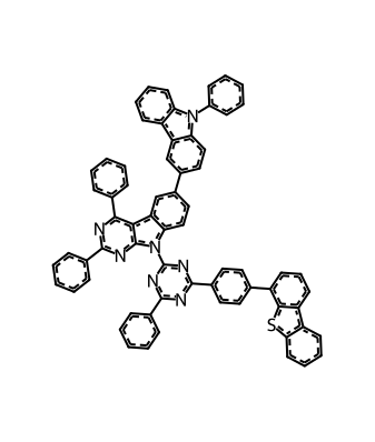 c1ccc(-c2nc(-c3ccc(-c4cccc5c4sc4ccccc45)cc3)nc(-n3c4ccc(-c5ccc6c(c5)c5ccccc5n6-c5ccccc5)cc4c4c(-c5ccccc5)nc(-c5ccccc5)nc43)n2)cc1